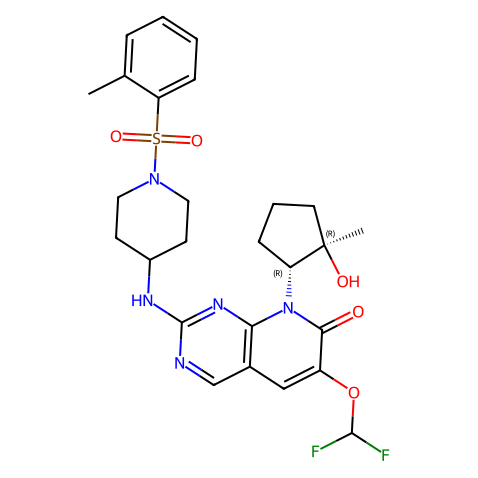 Cc1ccccc1S(=O)(=O)N1CCC(Nc2ncc3cc(OC(F)F)c(=O)n([C@@H]4CCC[C@@]4(C)O)c3n2)CC1